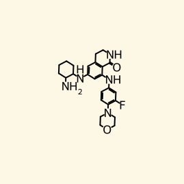 NC1CCCCC1Nc1cc2c(c(Nc3ccc(N4CCOCC4)c(F)c3)c1)C(=O)NCC2